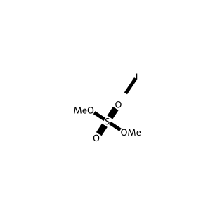 CI.COS(=O)(=O)OC